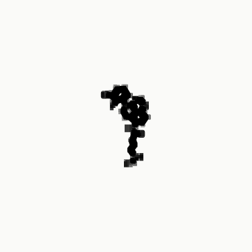 CC(C)NC/C=C/C(=O)Nc1ccc2ncnc3c2c1CCN3c1cccc(Cl)c1F